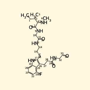 CCC(C)C(NC)C(=O)NCC(=O)NCCSc1[nH]c2cccc(F)c2c1CCC(=O)NCC=O